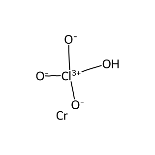 [Cr].[O-][Cl+3]([O-])([O-])O